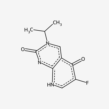 CC(C)n1cc2c(=O)c(F)c[nH]c2nc1=O